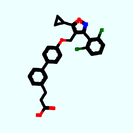 O=C(O)CCc1cccc(-c2ccc(OCc3c(-c4c(Cl)cccc4Cl)noc3C3CC3)cc2)c1